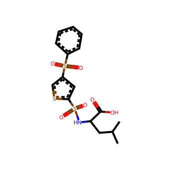 CC(C)CC(NS(=O)(=O)c1cc(S(=O)(=O)c2ccccc2)cs1)C(=O)O